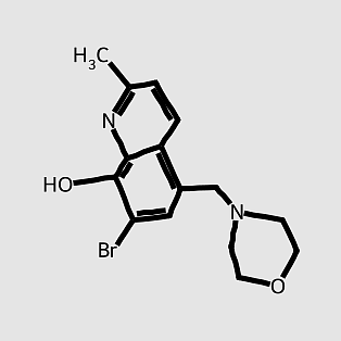 Cc1ccc2c(CN3CCOCC3)cc(Br)c(O)c2n1